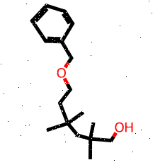 CC(C)(CO)CC(C)(C)CCOCc1ccccc1